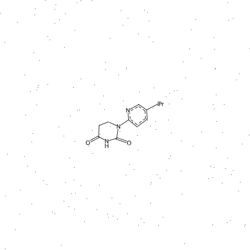 CC(C)c1ccc(N2CCC(=O)NC2=O)nc1